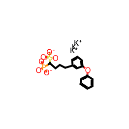 O=P([O-])([O-])C(CCCc1cccc(Oc2ccccc2)c1)S(=O)(=O)[O-].[K+].[K+].[K+]